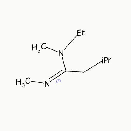 CCN(C)/C(CC(C)C)=N\C